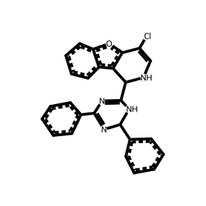 ClC1=CNC(C2=NC(c3ccccc3)=NC(c3ccccc3)N2)c2c1oc1ccccc21